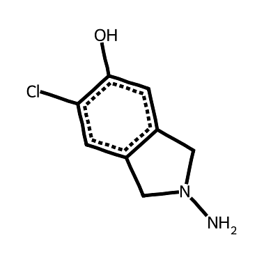 NN1Cc2cc(O)c(Cl)cc2C1